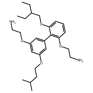 CCC(CC)COc1cccc(OCCN)c1-c1cc(OCCN)cc(OCCC(C)C)c1